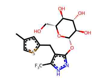 Cc1csc(Cc2c(O[C@@H]3O[C@H](CO)[C@@H](O)[C@H](O)[C@H]3O)n[nH]c2C(F)(F)F)c1